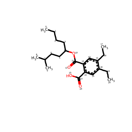 CCCCC(CCC(C)C)OC(=O)c1cc(CC)c(CC)cc1C(=O)O